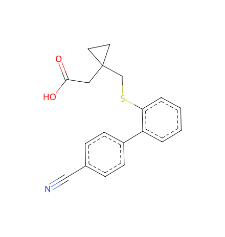 N#Cc1ccc(-c2ccccc2SCC2(CC(=O)O)CC2)cc1